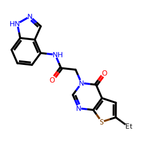 CCc1cc2c(=O)n(CC(=O)Nc3cccc4[nH]ncc34)cnc2s1